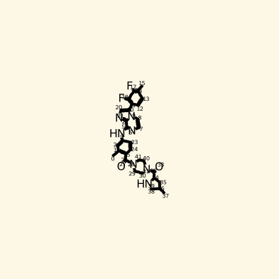 Cc1cc(Nc2nccn3c(-c4ccc(C)c(F)c4F)cnc23)ccc1C(=O)N1CCN(C(=O)C2CC(C)CN2)CC1